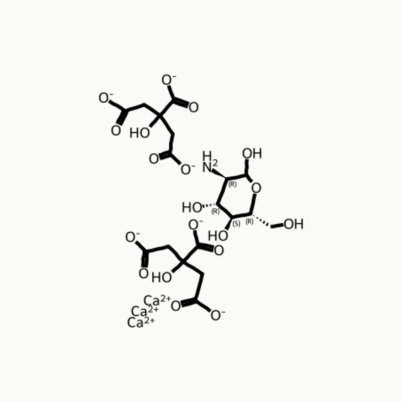 N[C@H]1C(O)O[C@H](CO)[C@@H](O)[C@@H]1O.O=C([O-])CC(O)(CC(=O)[O-])C(=O)[O-].O=C([O-])CC(O)(CC(=O)[O-])C(=O)[O-].[Ca+2].[Ca+2].[Ca+2]